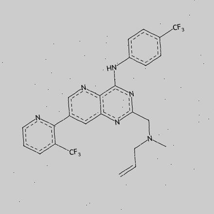 C=CCN(C)Cc1nc(Nc2ccc(C(F)(F)F)cc2)c2ncc(-c3ncccc3C(F)(F)F)cc2n1